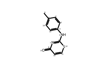 Cc1ccc(Nc2nc(=O)ccs2)cc1